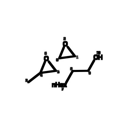 C1CO1.CC1CO1.CCCCCCCCO